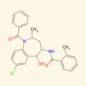 Cc1ccccc1C(=O)NC1CC(C)N(C(=O)c2ccccc2)c2ccc(Cl)cc2C1O